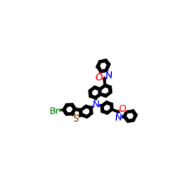 Brc1ccc2c(c1)sc1ccc(N(c3ccc(-c4nc5ccccc5o4)cc3)c3cccc4c(-c5nc6ccccc6o5)cccc34)cc12